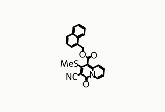 CSc1c(C#N)c(=O)n2ccccc2c1C(=O)OCc1cccc2ccccc12